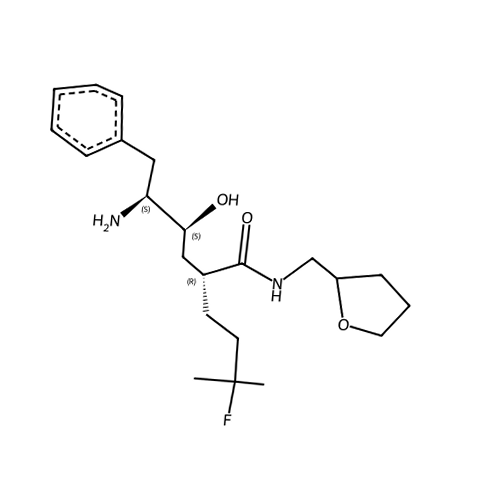 CC(C)(F)CC[C@H](C[C@H](O)[C@@H](N)Cc1ccccc1)C(=O)NCC1CCCO1